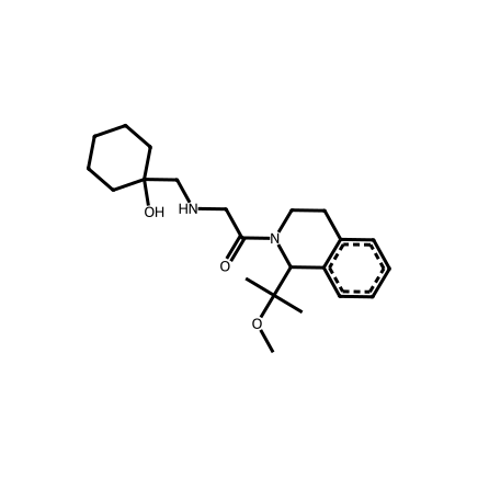 COC(C)(C)C1c2ccccc2CCN1C(=O)CNCC1(O)CCCCC1